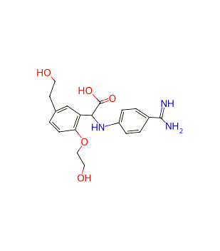 N=C(N)c1ccc(NC(C(=O)O)c2cc(CCO)ccc2OCCO)cc1